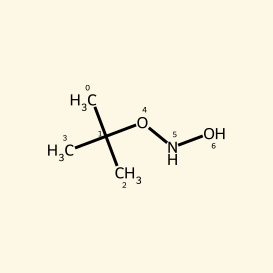 CC(C)(C)ONO